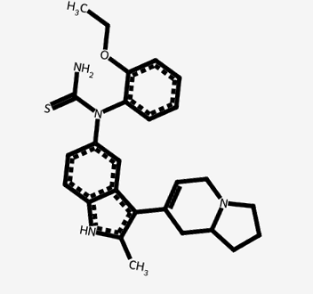 CCOc1ccccc1N(C(N)=S)c1ccc2[nH]c(C)c(C3=CCN4CCCC4C3)c2c1